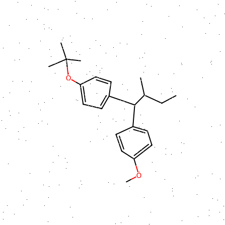 CCC(C)C(c1ccc(OC)cc1)c1ccc(OC(C)(C)C)cc1